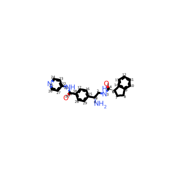 N[C@@H](CNC(=O)[C@H]1CCc2ccccc21)c1ccc(C(=O)Nc2ccncc2)cc1